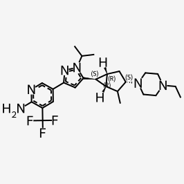 CCN1CCN([C@H]2C[C@H]3[C@H](c4cc(-c5cnc(N)c(C(F)(F)F)c5)nn4C(C)C)[C@H]3C2C)CC1